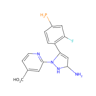 NC1C=C(c2ccc(P)cc2F)N(c2cc(C(=O)O)ccn2)N1